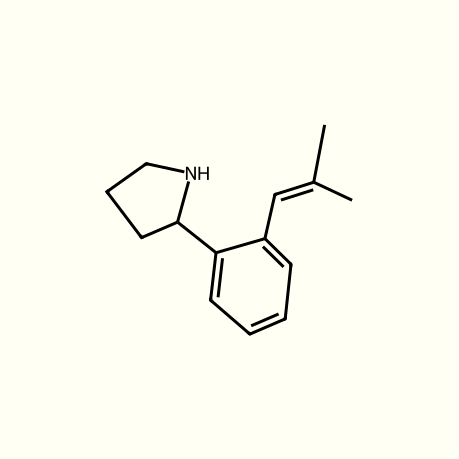 CC(C)=Cc1ccccc1C1CCCN1